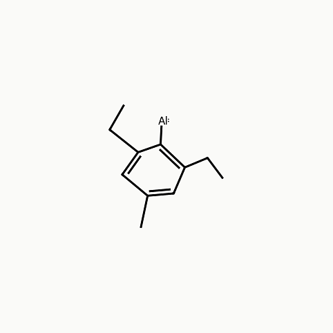 CCc1cc(C)cc(CC)[c]1[Al]